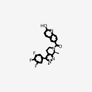 C[C@H]1c2nn(C)c(-c3cc(F)c(F)c(F)c3)c2CCN1C(=O)c1ccc2nc(O)ccc2c1